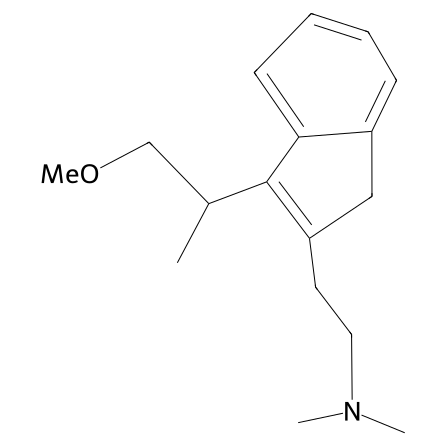 COCC(C)C1=C(CCN(C)C)Cc2ccccc21